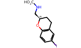 O=C(O)NC[C@H]1CCc2cc(I)ccc2O1